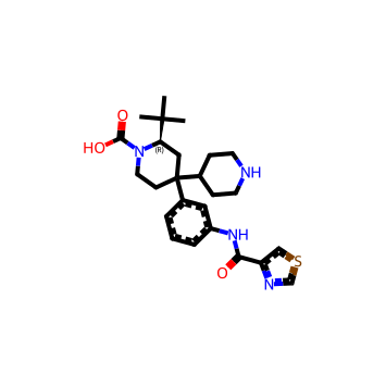 CC(C)(C)[C@H]1CC(c2cccc(NC(=O)c3cscn3)c2)(C2CCNCC2)CCN1C(=O)O